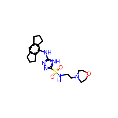 O=S(=O)(NCCN1CCOCC1)c1nnc(Nc2c3c(cc4c2CCC4)CCC3)[nH]1